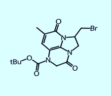 Cc1cc2c3n(c1=O)C(CBr)CN3C(=O)CN2C(=O)OC(C)(C)C